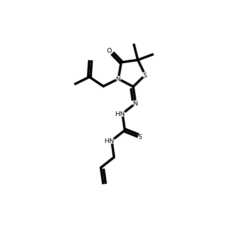 C=CCNC(=S)NN=C1SC(C)(C)C(=O)N1CC(=C)C